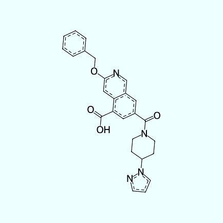 O=C(O)c1cc(C(=O)N2CCC(n3cccn3)CC2)cc2cnc(OCc3ccccc3)cc12